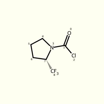 O=C(Cl)N1CCC[C@H]1C(F)(F)F